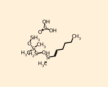 CCCCC=C[SiH](C)O[SiH2][Si](C)(C)O[SiH3].O=[Si](O)O